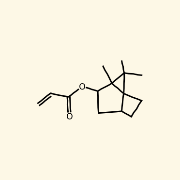 C=CC(=O)OC1CC2CCC23C(C)(C)C13C